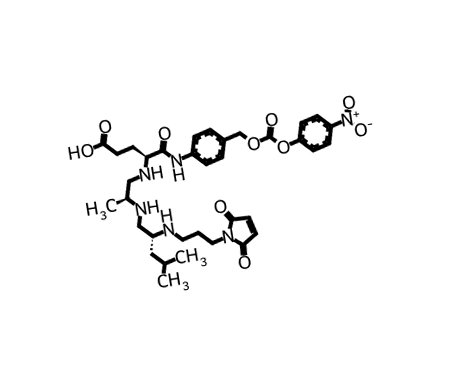 CC(C)C[C@H](CN[C@@H](C)CN[C@@H](CCC(=O)O)C(=O)Nc1ccc(COC(=O)Oc2ccc([N+](=O)[O-])cc2)cc1)NCCCN1C(=O)C=CC1=O